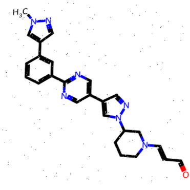 Cn1cc(-c2cccc(-c3ncc(-c4cnn(C5CCCN(C=CC=O)C5)c4)cn3)c2)cn1